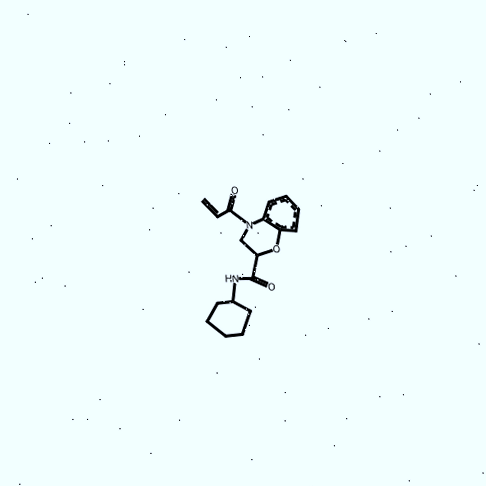 C=CC(=O)N1CC(C(=O)NC2CCCCC2)Oc2ccccc21